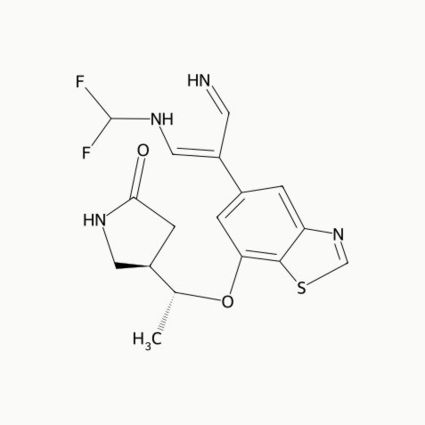 C[C@@H](Oc1cc(/C(C=N)=C/NC(F)F)cc2ncsc12)[C@H]1CNC(=O)C1